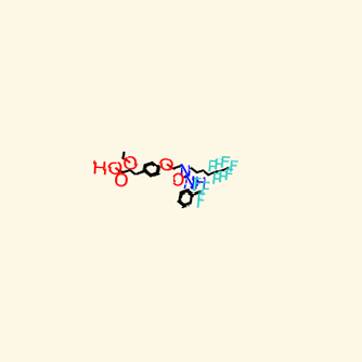 CCOC(Cc1ccc(OCCN(CCCCC(F)(F)C(F)(F)C(F)(F)F)C(=O)Nc2ccccc2C(F)(F)F)cc1)C(=O)O